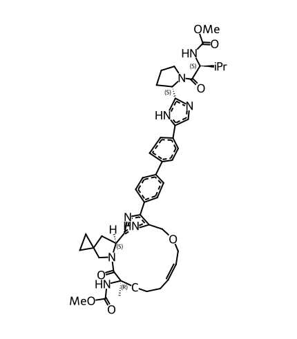 COC(=O)N[C@H](C(=O)N1CCC[C@H]1c1ncc(-c2ccc(-c3ccc(-c4nc5[nH]c4COCC=CCCC[C@@](C)(NC(=O)OC)C(=O)N4CC6(CC6)C[C@@H]54)cc3)cc2)[nH]1)C(C)C